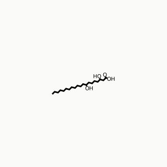 CCCCCCCCCCCCC(O)CCCCC(O)CC(=O)O